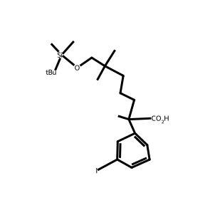 CC(C)(CCCC(C)(C(=O)O)c1cccc(I)c1)CO[Si](C)(C)C(C)(C)C